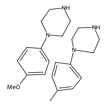 COc1ccc(N2CCNCC2)cc1.Cc1ccc(N2CCNCC2)cc1